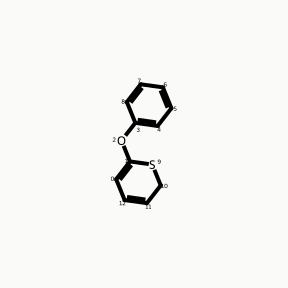 [C]1=C(Oc2ccccc2)SCC=C1